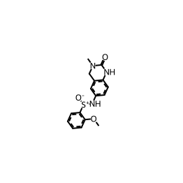 COc1ccccc1[S+]([O-])Nc1ccc2c(c1)CN(C)C(=O)N2